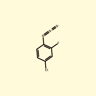 CCc1ccc(N=[N+]=[N-])c(F)c1